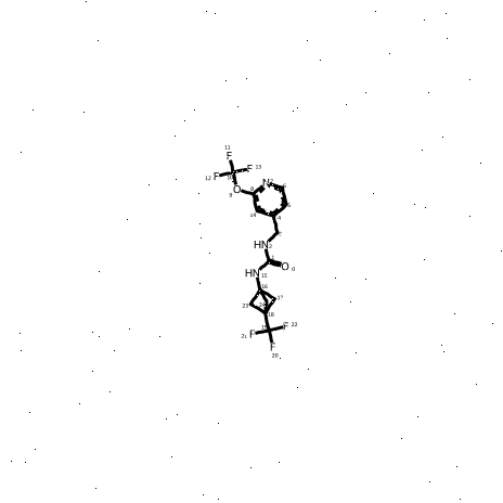 O=C(NCc1ccnc(OC(F)(F)F)c1)NC12CC(C(F)(F)F)(C1)C2